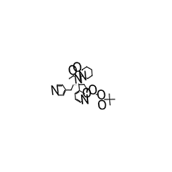 CC(=O)N(N1CCCCC1=O)[C@@](CCc1ccncc1)(CC(=O)OCOC(=O)C(C)(C)C)c1cccnc1